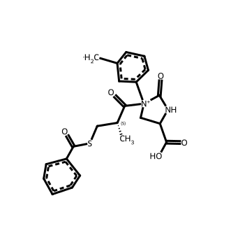 [CH2]c1cccc([N+]2(C(=O)[C@H](C)CSC(=O)c3ccccc3)CC(C(=O)O)NC2=O)c1